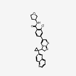 O=C(NC1CCOC1)c1ccc(C2=CN3C(=NCC3C3(c4ccc5ncccc5c4)CC3)N=C2)cc1Cl